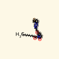 CCCCCCCCCCCC(=O)CCn1c(=O)ccc2ccc(OCCCCN3CCN(c4cccc5sccc45)CC3)cc21